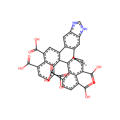 CCc1cc2[nH]cnc2cc1-c1cc(C(=O)O)c2c(C(=O)O)ccc(C(=O)O)c2c1-c1ccc(C(=O)O)c2c(C(=O)O)ccc(C(=O)O)c12